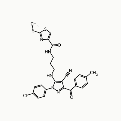 CSc1nc(C(=O)NCCCNc2c(C#N)c(C(=O)c3ccc(C)cc3)nn2-c2ccc(Cl)cc2)cs1